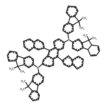 CC1(C)c2ccccc2-c2ccc(N(c3ccc4c(c3)C(C)(C)c3ccccc3-4)c3ccc4c(-c5ccc6ccccc6c5)c5cc(N(c6ccc7c(c6)C(C)(C)c6ccccc6-7)c6ccc7c(c6)C(C)(C)C6C=CC=CC76)ccc5c(-c5ccc6ccccc6c5)c4c3)cc21